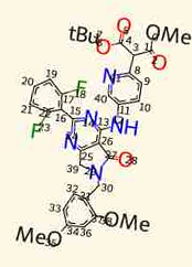 COC(=O)C(C(=O)OC(C)(C)C)c1ccc(Nc2nc(-c3c(F)cccc3F)nc3c2C(=O)N(Cc2ccc(OC)cc2OC)C3)cn1